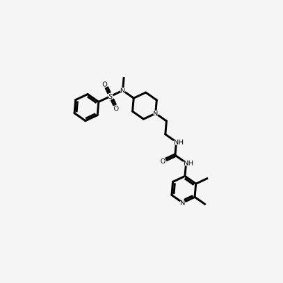 Cc1nccc(NC(=O)NCCN2CCC(N(C)S(=O)(=O)c3ccccc3)CC2)c1C